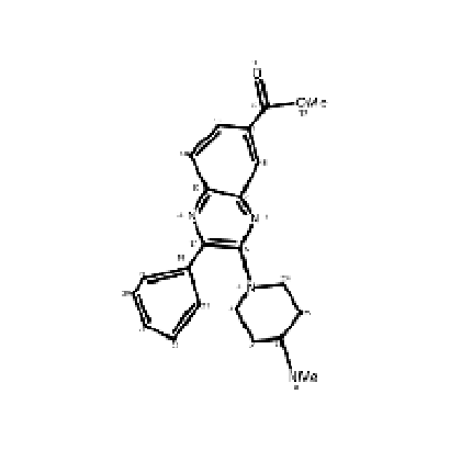 CNC1CCN(c2nc3cc(C(=O)OC)ccc3nc2-c2ccccc2)CC1